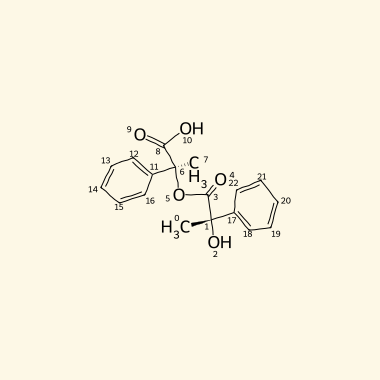 C[C@@](O)(C(=O)O[C@](C)(C(=O)O)c1ccccc1)c1ccccc1